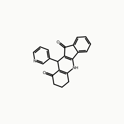 O=C1CCCC2=C1C(c1cccnc1)C1=C(N2)c2ccccc2C1=O